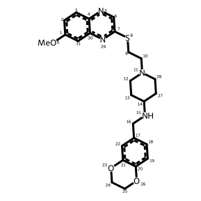 COc1ccc2ncc(SCCN3CCC(NCc4ccc5c(c4)OCCO5)CC3)nc2c1